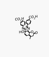 CC1=C2C=CC(O)(N=Nc3ccc(C(=O)O)cc3)C(N=Nc3ccc(C(=O)O)cc3)=C2OC(=O)C1